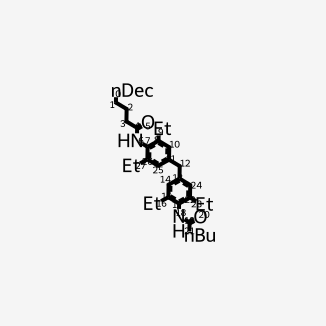 CCCCCCCCCCCCCC(=O)Nc1c(CC)cc(Cc2cc(CC)c(NC(=O)CCCC)c(CC)c2)cc1CC